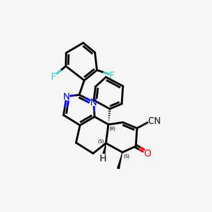 C[C@@H]1C(=O)C(C#N)=C[C@]2(c3ccccc3)c3nc(-c4c(F)cccc4F)ncc3CC[C@@H]12